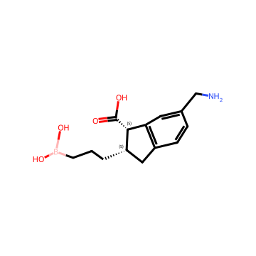 NCc1ccc2c(c1)[C@@H](C(=O)O)[C@@H](CCCB(O)O)C2